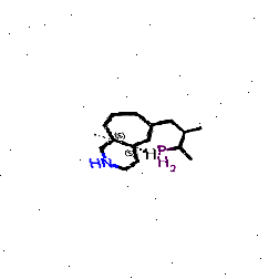 CC(P)C(C)CC1CCC[C@]2(C)CNCC[C@@H]2C1